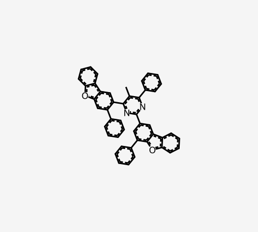 Cc1c(-c2ccccc2)nc(-c2cc(-c3ccccc3)c3oc4ccccc4c3c2)nc1-c1cc2c(cc1-c1ccccc1)oc1ccccc12